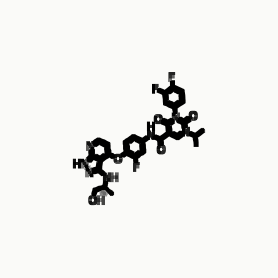 CC(C)n1cc(C(=O)Nc2ccc(Oc3ccnc4[nH]nc(N[C@@H](C)CO)c34)c(F)c2)c(=O)n(-c2ccc(F)c(F)c2)c1=O